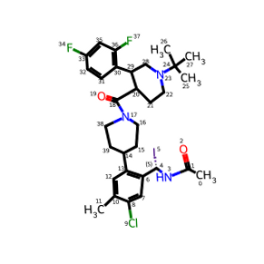 CC(=O)N[C@@H](I)c1cc(Cl)c(C)cc1C1CCN(C(=O)C2CCN(C(C)(C)C)CC2c2ccc(F)cc2F)CC1